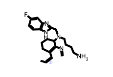 C=NC1=C(/C=C\C)CCCC1N(CCCCN)Cc1nc2cc(F)ccc2[nH]1